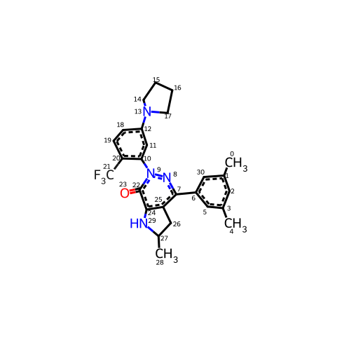 Cc1cc(C)cc(-c2nn(-c3cc(N4CCCC4)ccc3C(F)(F)F)c(=O)c3c2CC(C)N3)c1